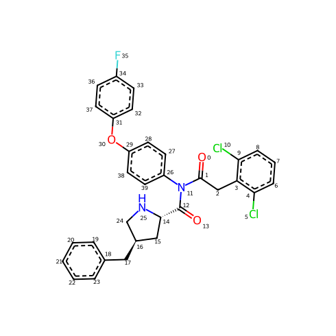 O=C(Cc1c(Cl)cccc1Cl)N(C(=O)[C@@H]1C[C@@H](Cc2ccccc2)CN1)c1ccc(Oc2ccc(F)cc2)cc1